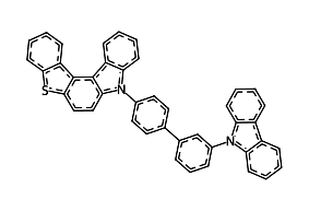 c1cc(-c2ccc(-n3c4ccccc4c4c5c(ccc43)sc3ccccc35)cc2)cc(-n2c3ccccc3c3ccccc32)c1